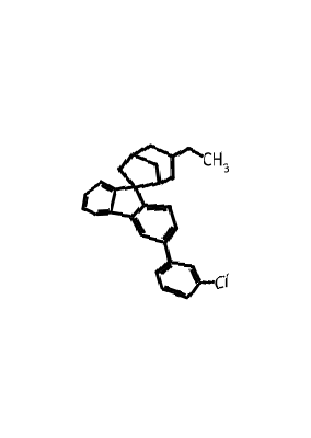 CCC1CC2CC(C1)C1(C2)c2ccccc2-c2cc(-c3cccc(Cl)c3)ccc21